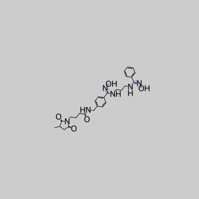 CC1CC(=O)N(CCCC(=O)NCc2ccc(/C(=N/O)NCCCN/C(=N\O)c3ccccc3)cc2)C1=O